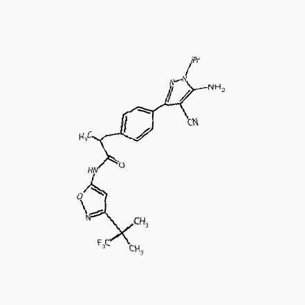 CC(C(=O)Nc1cc(C(C)(C)C(F)(F)F)no1)c1ccc(-c2nn(C(C)C)c(N)c2C#N)cc1